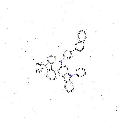 CC1(C)c2ccccc2-c2c(N(c3ccc(-c4ccc5ccccc5c4)cc3)c3ccc4c5ccccc5n(-c5ccccc5)c4c3)cccc21